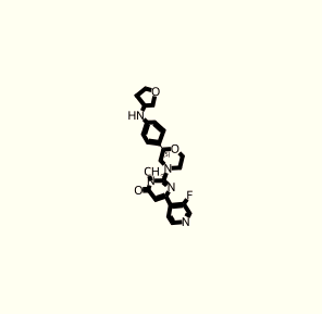 Cn1c(N2CCO[C@@H](c3ccc(NC4CCOC4)cc3)C2)nc(-c2ccncc2F)cc1=O